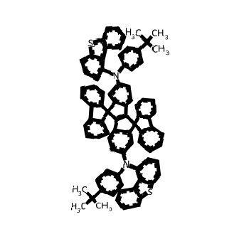 CC(C)(C)c1ccc(N(c2ccc3c(c2)C2(C4=C3C3(c5cc(N(c6ccc(C(C)(C)C)cc6)c6cccc7sc8ccccc8c67)ccc54)c4ccccc4-c4ccccc43)c3ccccc3-c3ccccc32)c2cccc3sc4ccccc4c23)cc1